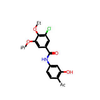 CCOc1c(Cl)cc(C(=O)Nc2ccc(C(C)=O)c(O)c2)cc1OC(C)C